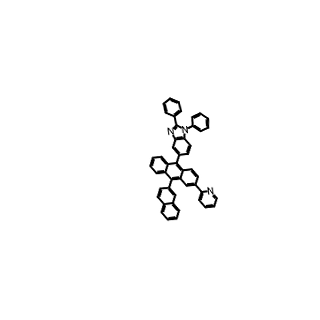 c1ccc(-c2nc3cc(-c4c5ccccc5c(-c5ccc6ccccc6c5)c5cc(-c6ccccn6)ccc45)ccc3n2-c2ccccc2)cc1